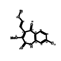 CCOC=Cc1c(OC)c(=O)[nH]c2cc(Cl)ccc2c1=O